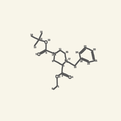 CCOC(=O)C1CN(C(=O)OC(C)(C)C)CCN1Cc1ccccc1